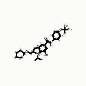 CC(C)N1c2c(Br)cc(C(=O)Nc3ccc(OC(F)(F)Cl)cc3)cc2CC1COC1CCCCO1